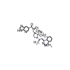 C=C(/C=C(\N=N/C)c1c(F)cccc1F)[C@@H]1CC[C@@](C)(CN(CC)C(=O)c2cnc3[nH]cnc3c2)C1(C)C